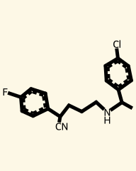 CC(NCCCC(C#N)c1ccc(F)cc1)c1ccc(Cl)cc1